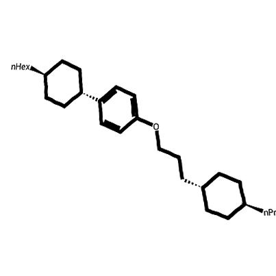 CCCCCC[C@H]1CC[C@H](c2ccc(OCCC[C@H]3CC[C@H](CCC)CC3)cc2)CC1